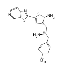 NC1SC(c2nc3ccncc3s2)=CN1C[C@H](N)Cc1ccc(C(F)(F)F)cc1